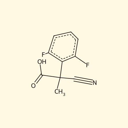 CC(C#N)(C(=O)O)c1c(F)cccc1F